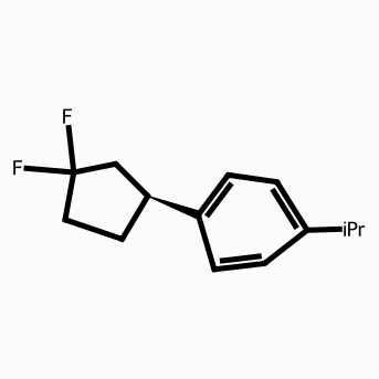 CC(C)c1ccc([C@H]2CCC(F)(F)C2)cc1